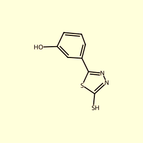 Oc1cccc(-c2nnc(S)s2)c1